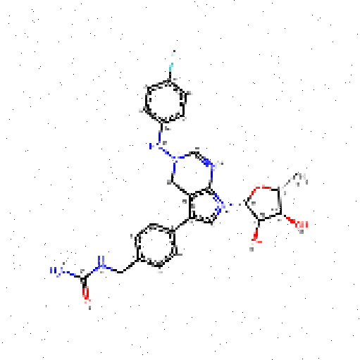 C[C@H]1O[C@@H](n2cc(-c3ccc(CNC(N)=O)cc3)c3c2N=CN(Nc2ccc(F)cc2)C3)[C@H](O)[C@@H]1O